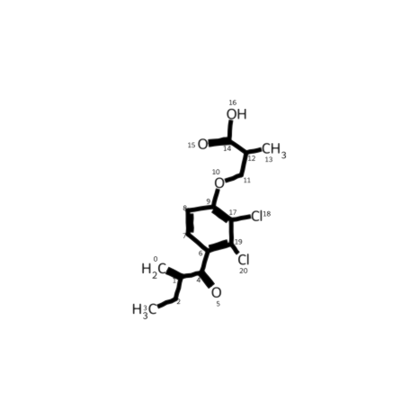 C=C(CC)C(=O)c1ccc(OCC(C)C(=O)O)c(Cl)c1Cl